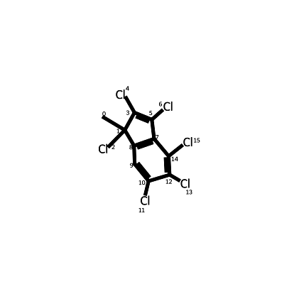 CC1(Cl)C(Cl)=C(Cl)c2c1cc(Cl)c(Cl)c2Cl